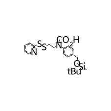 CC(C)(C)[Si](C)(C)OCc1ccc(N(CCSSc2ccccn2)C(=O)O)cc1